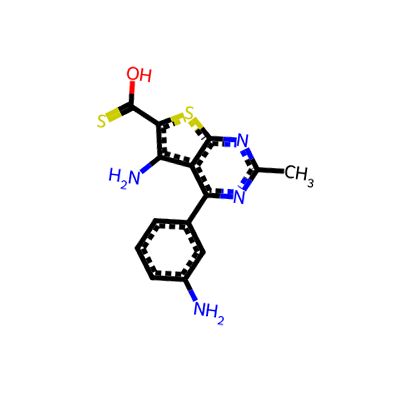 Cc1nc(-c2cccc(N)c2)c2c(N)c(C(O)=S)sc2n1